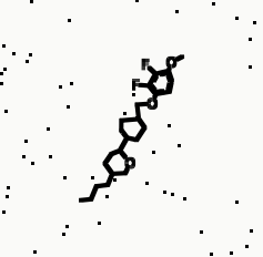 CCCCC1CCC(C2CCC(COc3ccc(OC)c(F)c3F)CC2)OC1